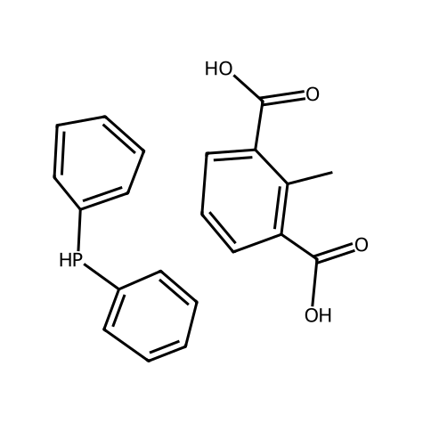 Cc1c(C(=O)O)cccc1C(=O)O.c1ccc(Pc2ccccc2)cc1